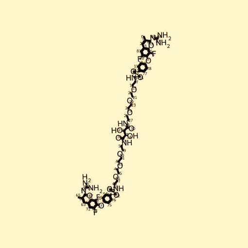 CC(=Cc1cc(F)c(Oc2ccc(S(=O)(=O)NCCOCCOCCOCCNC(=O)[C@H](O)[C@@H](O)C(=O)NCCOCCOCCOCCNS(=O)(=O)c3ccc(Oc4c(F)cc(C=C(C)C(=O)N=C(N)N)cc4F)cc3)cc2)c(F)c1)C(=O)N=C(N)N